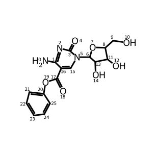 Nc1nc(=O)n(C2OC(CO)C(O)C2O)cc1C(=O)Oc1ccccc1